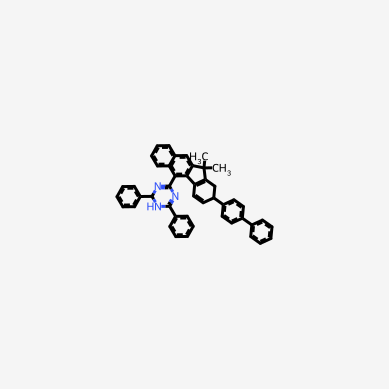 CC1(C)C2=C(C=CC(c3ccc(-c4ccccc4)cc3)C2)c2c1cc1ccccc1c2C1=NC(c2ccccc2)NC(c2ccccc2)=N1